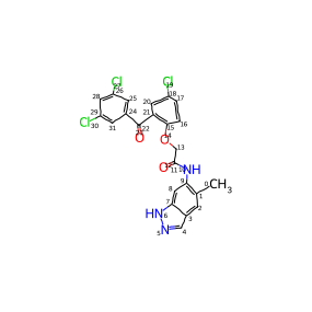 Cc1cc2cn[nH]c2cc1NC(=O)COc1ccc(Cl)cc1C(=O)c1cc(Cl)cc(Cl)c1